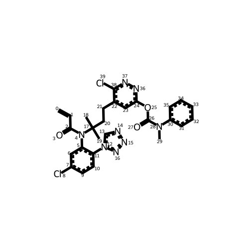 C=CC(=O)N(c1cc(Cl)ccc1-n1cnnn1)C(C)(C)CCc1cc(OC(=O)N(C)c2ccccc2)nnc1Cl